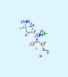 CC1(N)CC(NC(=O)OC(C)(C)C)C1.Cl